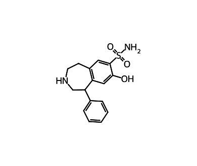 NS(=O)(=O)c1cc2c(cc1O)C(c1ccccc1)CNCC2